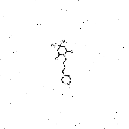 CC1(C)CC(=O)N(CCCCN2CCNCC2)C(=O)C1